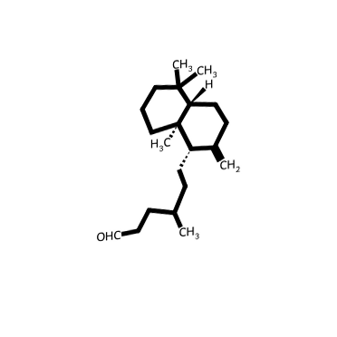 C=C1CC[C@H]2C(C)(C)CCC[C@]2(C)[C@H]1CCC(C)CCC=O